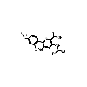 CCC(CC)Nc1nc(C)c(-c2ccc(OC(F)(F)F)cc2OC)nc1C(C)O